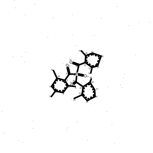 Cc1cc(C)c(C(=O)P(=O)(C(=O)c2c(C)cccc2C)C(=O)c2c(C)cccc2C)c(C)c1